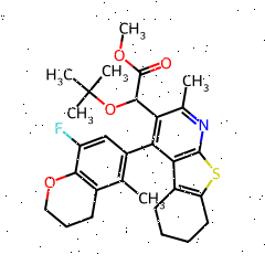 COC(=O)C(OC(C)(C)C)c1c(C)nc2sc3c(c2c1-c1cc(F)c2c(c1C)CCCO2)CCCC3